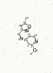 COc1cc(/N=C\c2cc(C)on2)ccn1